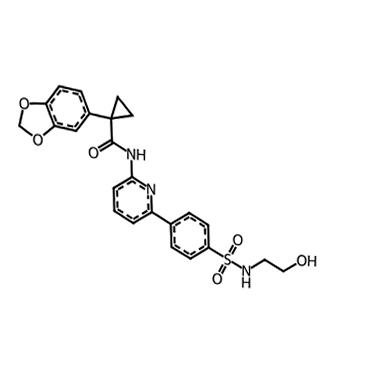 O=C(Nc1cccc(-c2ccc(S(=O)(=O)NCCO)cc2)n1)C1(c2ccc3c(c2)OCO3)CC1